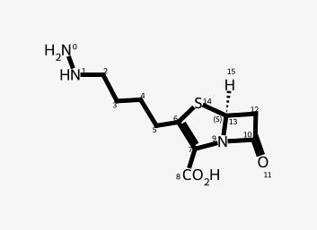 NNCCCCC1=C(C(=O)O)N2C(=O)C[C@@H]2S1